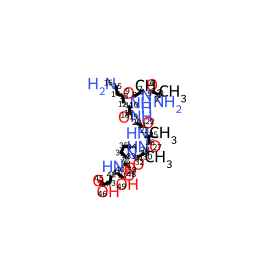 C[C@H](N)C(=O)N[C@@H](C)C(=O)N[C@@H](CCCCN)C(=O)NCC(=O)N[C@@H](C)C(=O)N[C@@H](C)C(=O)N1CCC[C@H]1C(=O)N[C@@H](CCC(=O)O)C(=O)O